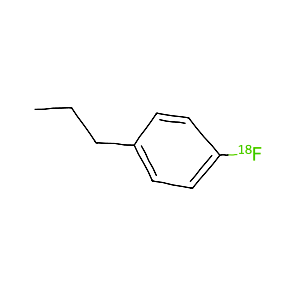 CCCc1ccc([18F])cc1